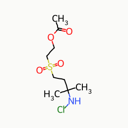 CC(=O)OCCS(=O)(=O)CCC(C)(C)NCl